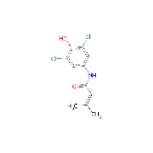 CC(C)=CC(=O)Nc1cc(Cl)c(O)c(Cl)c1